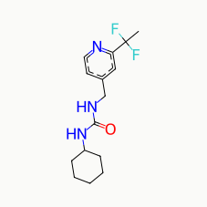 CC(F)(F)c1cc(CNC(=O)NC2CCCCC2)ccn1